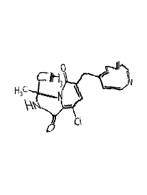 CC1(C)NC(=O)c2c(Cl)cc(Cc3ccncn3)c(=O)n21